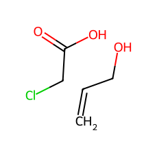 C=CCO.O=C(O)CCl